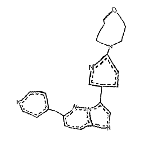 c1cc(-c2ccc3ncc(-c4ccc(N5CCOCC5)nc4)n3n2)ccn1